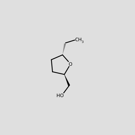 CC[C@H]1CC[C@H](CO)O1